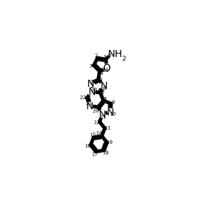 Nc1ccc(-c2nc3c4cnn(CCc5ccccc5)c4ncn3n2)o1